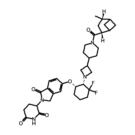 C[C@H]1C[C@@H](C(=O)N2CCC(C3CN([C@H]4[C@@H](Oc5ccc6c(c5)CN(C5CCC(=O)NC5=O)C6=O)CCCC4(F)F)C3)CC2)C2CC1C2